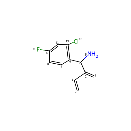 C=CC(=C)C(N)c1ccc(F)cc1Cl